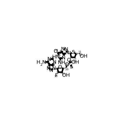 Nc1nc2c(nnn2[C@@H]2S[C@H](CO)C[C@H]2OP(O)(=S)OC[C@H]2O[C@@H](n3nnc4c(N)ncnc43)[C@@H](F)[C@@H]2O)c(=O)[nH]1